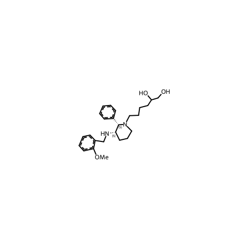 COc1ccccc1CN[C@H]1CCCN(CCCCC(O)CO)[C@H]1c1ccccc1